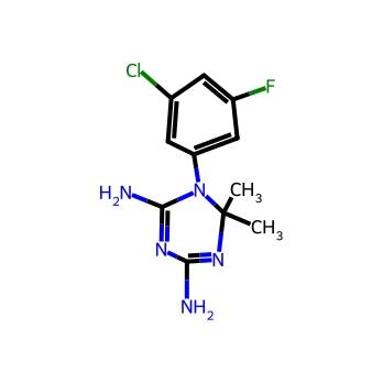 CC1(C)N=C(N)N=C(N)N1c1cc(F)cc(Cl)c1